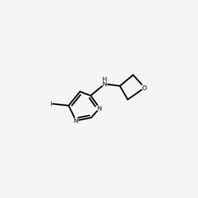 Ic1cc(NC2COC2)ncn1